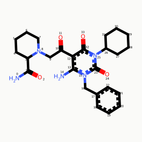 NC(=O)C1CCCCN1CC(=O)c1c(N)n(Cc2ccccc2)c(=O)n(C2CCCCC2)c1=O